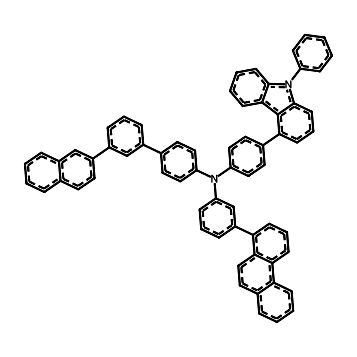 c1ccc(-n2c3ccccc3c3c(-c4ccc(N(c5ccc(-c6cccc(-c7ccc8ccccc8c7)c6)cc5)c5cccc(-c6cccc7c6ccc6ccccc67)c5)cc4)cccc32)cc1